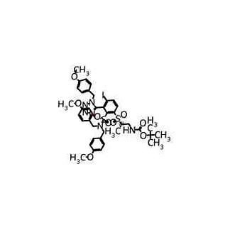 COc1ccc(CN(Cc2ccc(OC)cc2)S(=O)(=O)c2c(S(=O)(=O)[C@H](C)CNC(=O)OC(C)(C)C)ccc(I)c2-c2nnnn2Cc2ccc(OC)cc2)cc1